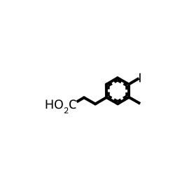 Cc1cc(CCC(=O)O)ccc1I